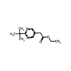 CCOC(=O)Cc1cnc(C(C)(C)C)nc1